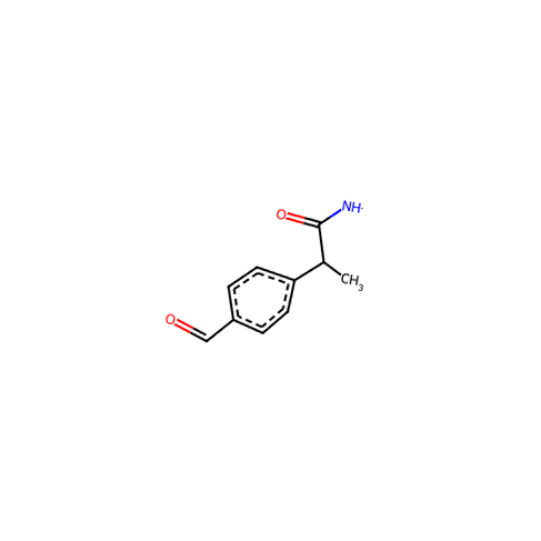 CC(C([NH])=O)c1ccc(C=O)cc1